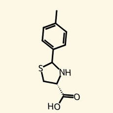 Cc1ccc(C2N[C@H](C(=O)O)CS2)cc1